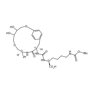 CC(C)[C@H]1COCC(O)C(O)COc2ccc(cc2)C[C@@H](NC(=O)N[C@@H](CCCCNC(=O)OC(C)(C)C)C(=O)O)C(=O)N1